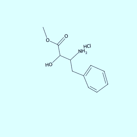 COC(=O)C(O)C(N)Cc1ccccc1.Cl